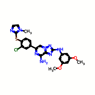 COc1cc(Nc2nc3c(N)nc(-c4ccc(Sc5nccn5C)c(Cl)c4)cn3n2)cc(OC)c1